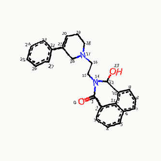 O=C1c2cccc3cccc(c23)C(O)N1CCN1CCC=C(c2ccccc2)C1